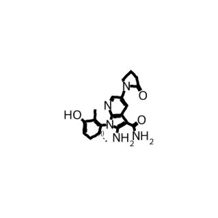 CC1=C(n2c(N)c(C(N)=O)c3cc(N4CCCC4=O)cnc32)[C@H](C)CC=C1O